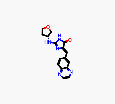 O=C1NC(N[C@@H]2CCOC2)=N/C1=C\c1ccc2nccnc2c1